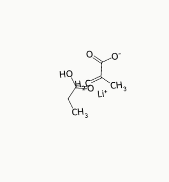 C=C(C)C(=O)[O-].CCC(=O)O.[Li+]